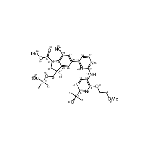 COCCOc1nc(P(C)(C)=O)ncc1Nc1nccc(-c2cc(C#N)c3c(c2)[C@@](C)(CO[Si](C)(C)C(C)(C)C)CN3C(=O)OC(C)(C)C)n1